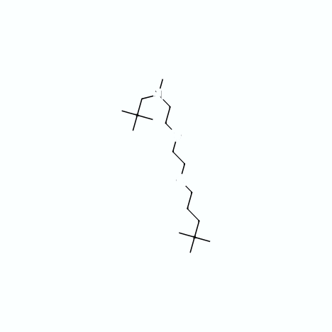 CN(CCOCCOCCCC(C)(C)C)CC(C)(C)C